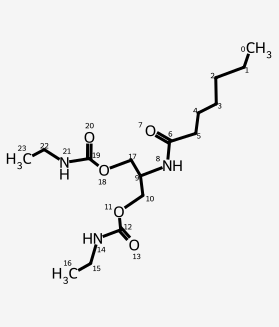 CCCCCCC(=O)NC(COC(=O)NCC)COC(=O)NCC